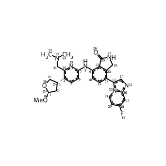 CO[C@@H]1C[C@@H](c2ccc(Nc3ccc(-c4cnc5cc(F)ccn45)c4c3C(=O)NC4)nc2CN(C)C)CO1